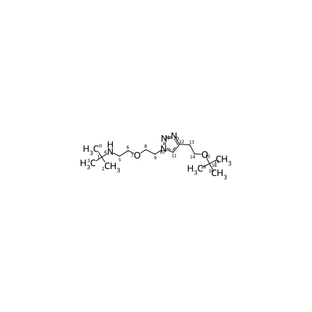 CC(C)(C)NCCOCCn1cc(CCOC(C)(C)C)nn1